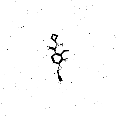 C#CCOc1ccc(C(=O)NC2CCC2)c(CC)c1F